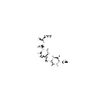 CCCCc1ccc(Oc2ccc(NCC(=O)OC)cn2)cc1